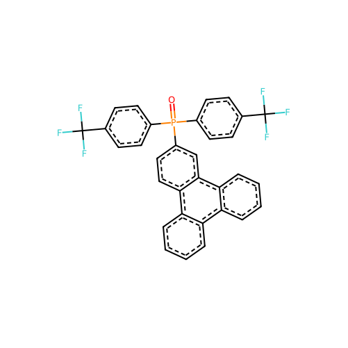 O=P(c1ccc(C(F)(F)F)cc1)(c1ccc(C(F)(F)F)cc1)c1ccc2c3ccccc3c3ccccc3c2c1